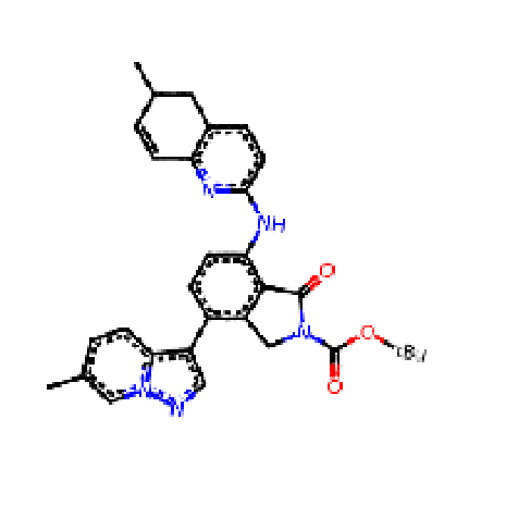 Cc1ccc2c(-c3ccc(Nc4ccc5c(n4)C=CC(C)C5)c4c3CN(C(=O)OC(C)(C)C)C4=O)cnn2c1